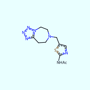 CC(=O)Nc1ncc(CN2CCc3nnnn3CC2)s1